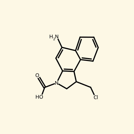 Nc1cc2c(c3ccccc13)C(CCl)CN2C(=O)O